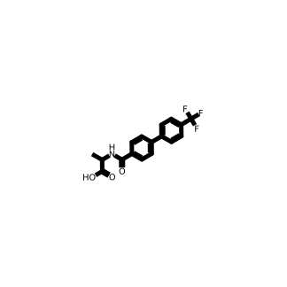 CC(NC(=O)c1ccc(-c2ccc(C(F)(F)F)cc2)cc1)C(=O)O